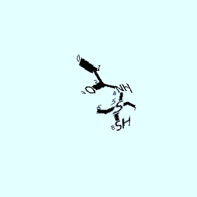 C=CC(=O)NS(C)(C)S